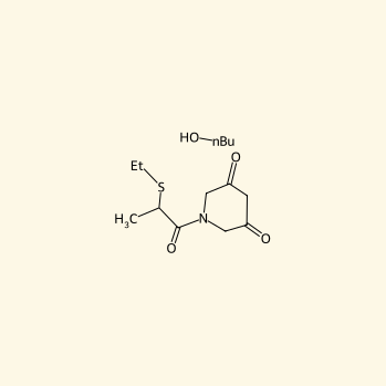 CCCCO.CCSC(C)C(=O)N1CC(=O)CC(=O)C1